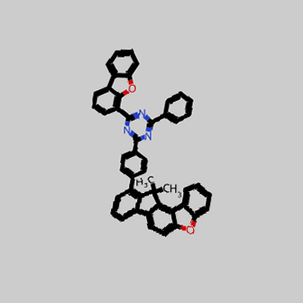 CC1(C)c2c(-c3ccc(-c4nc(-c5ccccc5)nc(-c5cccc6c5oc5ccccc56)n4)cc3)cccc2-c2ccc3oc4ccccc4c3c21